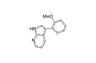 COc1ccc[c]c1-c1c[nH]c2ncccc12